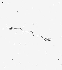 CCCC[CH]CCCC=O